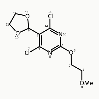 COCCOc1nc(Cl)c(C2OCCO2)c(Cl)n1